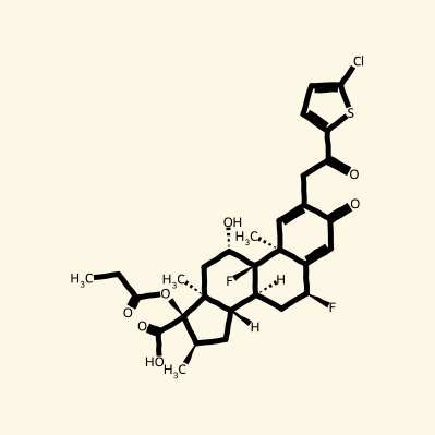 CCC(=O)O[C@]1(C(=O)O)[C@H](C)C[C@H]2[C@@H]3C[C@H](F)C4=CC(=O)C(CC(=O)c5ccc(Cl)s5)=C[C@]4(C)[C@@]3(F)[C@@H](O)C[C@@]21C